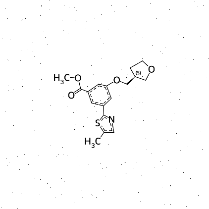 COC(=O)c1cc(OC[C@H]2CCOC2)cc(-c2ncc(C)s2)c1